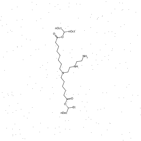 CCCCCCCCCCC(CC)OC(=O)CCCCCN(CCCCCCCC(=O)OC(CCCCCCCC)CCCCCCCC)CCNCCN